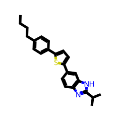 CCCCc1ccc(-c2ccc(-c3ccc4nc(C(C)C)[nH]c4c3)s2)cc1